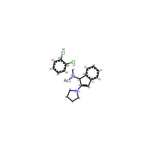 CC(=O)N(C)C1C(N2CCCC2)=Cc2ccccc21.Clc1ccccc1Cl